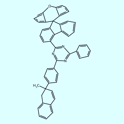 CC1(c2ccc(-c3nc(-c4ccccc4)nc(-c4cccc5c4-c4ccccc4C54c5ccccc5Oc5ccccc54)n3)cc2)C=Cc2ccccc2C1